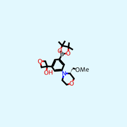 COC[C@@H]1COCCN1c1cc(B2OC(C)(C)C(C)(C)O2)cc(C2(O)COC2)c1